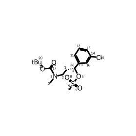 CN(CC[C@@H](OS(C)(=O)=O)c1cccc(Cl)c1)C(=O)OC(C)(C)C